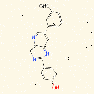 O=Cc1cccc(-c2cnc3cnc(-c4ccc(O)cc4)nc3c2)c1